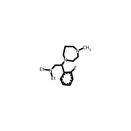 CCN(CC)CC(c1ccccc1F)N1CCCN(C)CC1